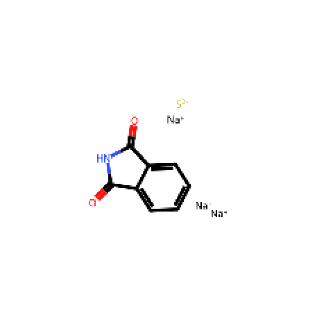 O=C1NC(=O)c2ccccc21.[Na+].[Na+].[Na+].[S-2]